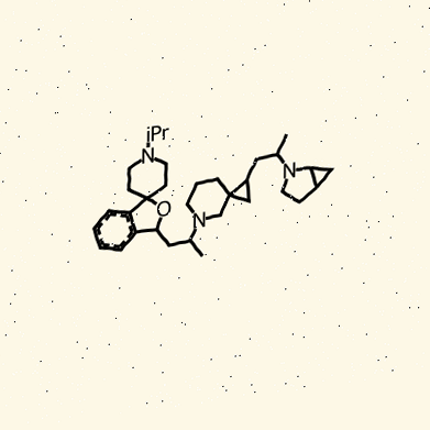 CC(C)N1CCC2(CC1)OC(CC(C)N1CCCC3(CC3CC(C)N3CCC4CC43)C1)c1ccccc12